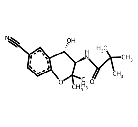 CC(C)(C)C(=O)N[C@@H]1[C@@H](O)c2cc(C#N)ccc2OC1(C)C